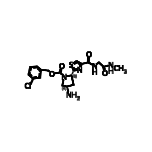 CNC(=O)CNC(=O)c1csc([C@@H]2C[C@@H](N)CN2C(=O)OCc2cccc(Cl)c2)n1